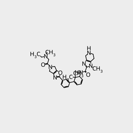 CCN(C)CC(=O)N1Cc2nc(-c3cccc(C4=CC=CC(NC(=O)c5nc6c(n5C)CCNC6)C4(C)C)c3)oc2C1